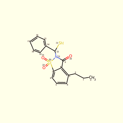 CCCc1cccc2c1C(=O)N(C(S)c1ccccc1)S2(=O)=O